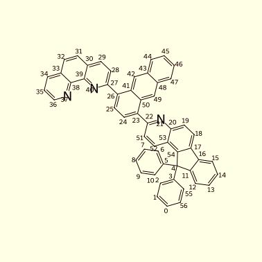 c1ccc(C2(c3ccccc3)c3ccccc3-c3ccc4nc(-c5ccc(-c6ccc7ccc8cccnc8c7n6)c6cc7ccccc7cc56)ccc4c32)cc1